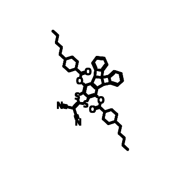 CCCCCC1CCC(C(=O)Oc2c3c(c(OC(=O)C4CCC(CCCCC)CC4)c4c2C2c5ccccc5C25c2ccccc2C45)SC(=C(C#N)C#N)S3)CC1